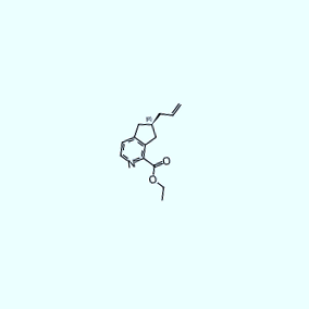 C=CC[C@@H]1Cc2ccnc(C(=O)OCC)c2C1